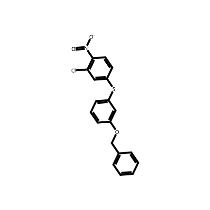 O=[N+]([O-])c1ccc(Sc2cccc(OCc3ccccc3)c2)cc1Cl